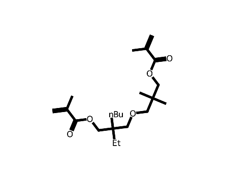 C=C(C)C(=O)OCC(C)(C)COCC(CC)(CCCC)COC(=O)C(=C)C